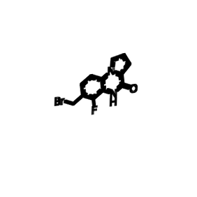 O=c1[nH]c2c(F)c(CBr)ccc2n2cccc12